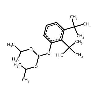 CC(C)[O][Ti]([O]c1cccc(C(C)(C)C)c1C(C)(C)C)[O]C(C)C